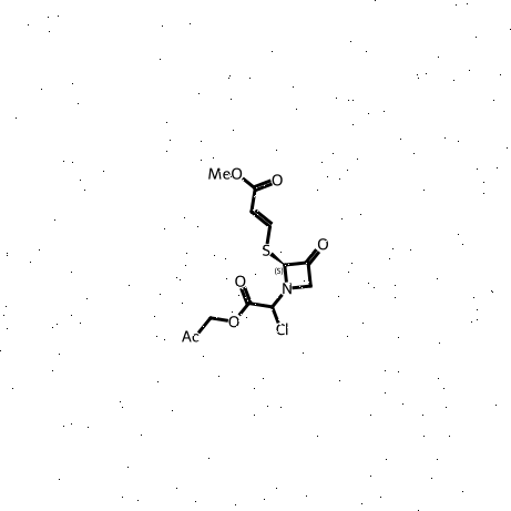 COC(=O)C=CS[C@H]1C(=O)CN1C(Cl)C(=O)OCC(C)=O